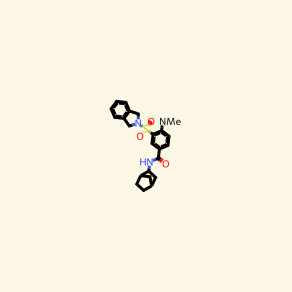 CNc1ccc(C(=O)NC2CC3CCC2C3)cc1S(=O)(=O)N1Cc2ccccc2C1